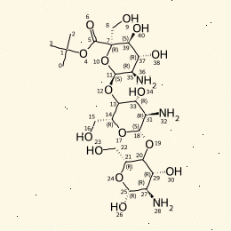 CC(C)(C)OC(=O)[C@]1(CO)O[C@H](OC2[C@@H](CO)O[C@@H](OC3[C@@H](CO)O[C@@H](O)[C@H](N)[C@H]3O)[C@H](N)[C@H]2O)[C@H](N)[C@@H](O)[C@@H]1O